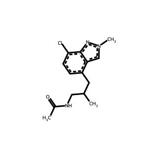 CC(=O)NCC(C)Cc1ccc(Cl)c2nn(C)cc12